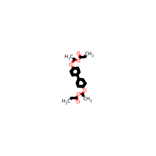 C=CC(=O)OC(C)Oc1ccc(-c2ccc(OC(C)OC(=O)C=C)cc2)cc1